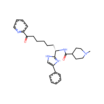 CN1CCC(C(=O)N[C@@H](CCCCCC(=O)c2ccccn2)C2=[N+]C(c3ccccc3)=CN2)CC1